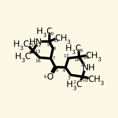 CC1(C)CC(C(=O)C2CC(C)(C)NC(C)(C)C2)CC(C)(C)N1